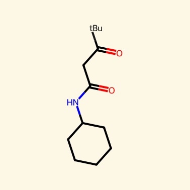 CC(C)(C)C(=O)CC(=O)NC1CCCCC1